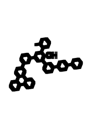 Cc1ccccc1-c1cc(-c2cccc(-c3ccc4c5ccccc5c5ccccc5c4c3)c2)cc(-c2cccc(-c3ccc(-c4ccccc4)cc3)c2)c1O